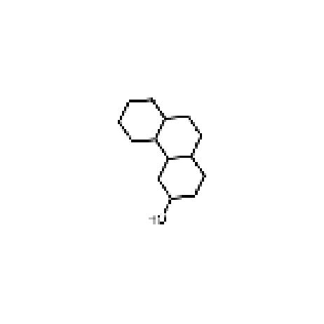 OC1CCC2CCC3CCCCC3C2C1